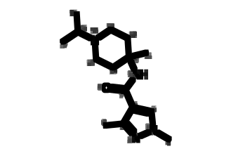 Cc1nn(C)cc1C(=O)NC1(C)CCN(C(C)C)CC1